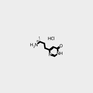 C[C@@H](N)CCc1cc(=O)[nH]cn1.Cl